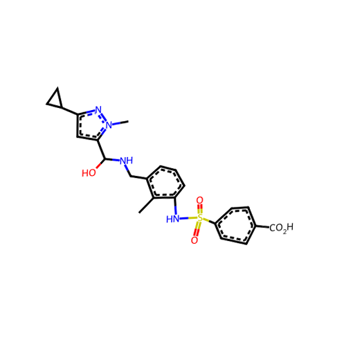 Cc1c(CNC(O)c2cc(C3CC3)nn2C)cccc1NS(=O)(=O)c1ccc(C(=O)O)cc1